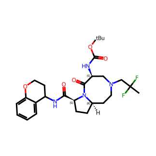 CC(F)(F)CN1CC[C@H]2CC[C@@H](C(=O)NC3CCOc4ccccc43)N2C(=O)[C@@H](NC(=O)OC(C)(C)C)C1